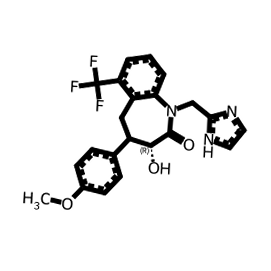 COc1ccc(C2Cc3c(cccc3C(F)(F)F)N(Cc3ncc[nH]3)C(=O)[C@@H]2O)cc1